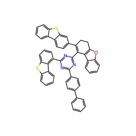 c1ccc(-c2ccc(-c3nc(C4=C(c5ccc6c(c5)sc5ccccc56)CCc5oc6ccccc6c54)nc(-c4cccc5sc6ccccc6c45)n3)cc2)cc1